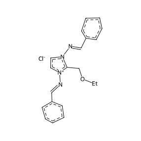 CCOCc1n(N=Cc2ccccc2)cc[n+]1N=Cc1ccccc1.[Cl-]